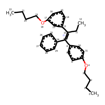 CCCCOc1ccc(/C(=C(\CC)c2cccc(OCCCC)c2)c2ccccc2)cc1